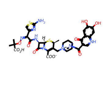 C[C@@H]1S[C@@H]2[C@H](NC(=O)/C(=N\OC(C)(C)C(=O)O)c3csc(N)n3)C(=O)N2C(C(=O)[O-])=C1C[N+]12CCC(CC1)N(C(=O)c1c[nH]c3cc(O)c(O)cc3c1=O)CC2